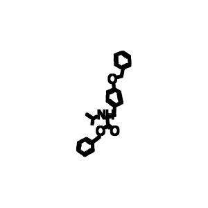 CC(C)NC(Cc1ccc(OCc2ccccc2)cc1)C(=O)OCc1ccccc1